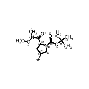 CON(C)C(=O)[C@@H]1C[C@H](F)CN1C(=O)OC(C)(C)C